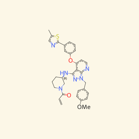 C=CC(=O)N1CCC[C@@H](Nc2nn(Cc3ccc(OC)cc3)c3nccc(Oc4cccc(-c5ncc(C)s5)c4)c23)C1